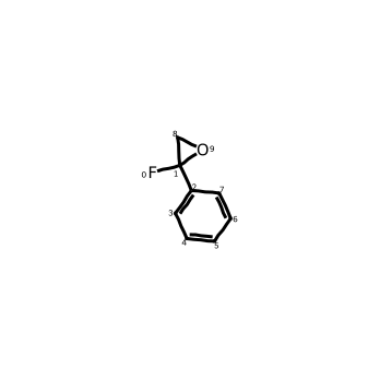 FC1(c2ccccc2)CO1